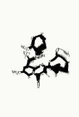 Cc1cc([C@@H](C)Nc2ccccc2C(=O)O)c2nc(-c3cccc(C)n3)cc(=O)n2c1